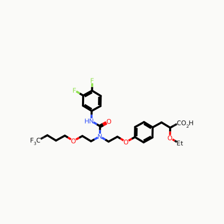 CCOC(Cc1ccc(OCCN(CCOCCCC(F)(F)F)C(=O)Nc2ccc(F)c(F)c2)cc1)C(=O)O